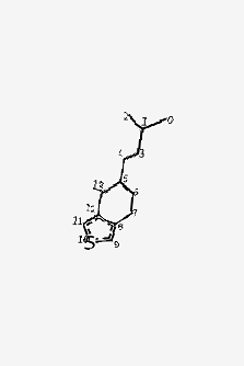 CC(C)CCC1CCc2cscc2C1